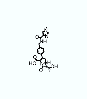 C[C@@H](O)[C@H]1C(=O)N2C(C(=O)O)=C(c3ccc(CNC(=O)c4cn(C)cn4)cc3)C[C@H]12